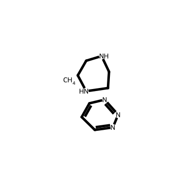 C.C1CNCCN1.c1cnnnc1